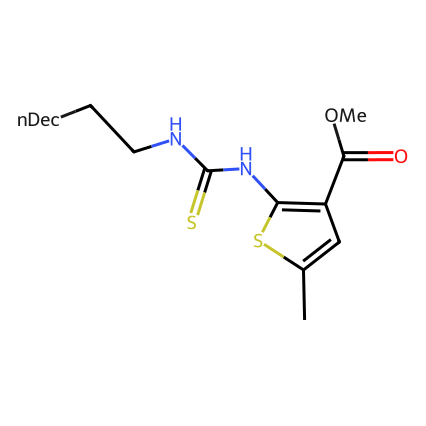 CCCCCCCCCCCCNC(=S)Nc1sc(C)cc1C(=O)OC